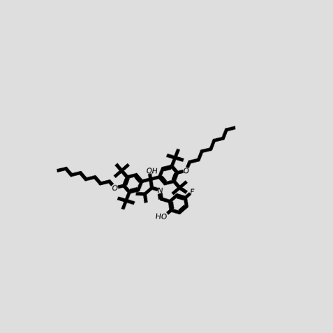 CCCCCCCCOc1c(C(C)(C)C)cc(C(O)(c2cc(C(C)(C)C)c(OCCCCCCCC)c(C(C)(C)C)c2)C(N=Cc2cc(F)ccc2O)C(C)C)cc1C(C)(C)C